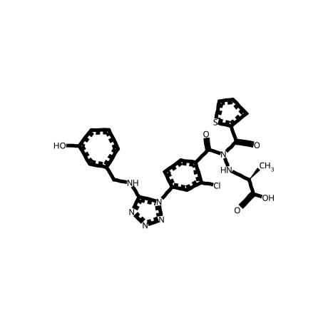 C[C@H](NN(C(=O)c1cccs1)C(=O)c1ccc(-n2nnnc2NCc2cccc(O)c2)cc1Cl)C(=O)O